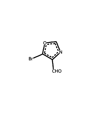 O=Cc1ncoc1Br